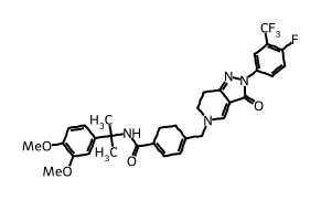 COc1ccc(C(C)(C)NC(=O)C2=CC=C(CN3C=C4C(=O)N(c5ccc(F)c(C(F)(F)F)c5)N=C4CC3)CC2)cc1OC